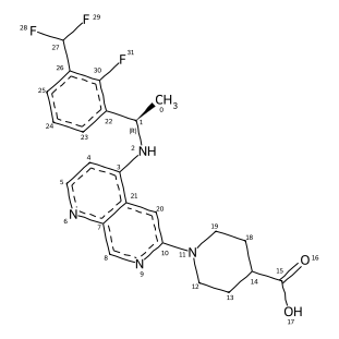 C[C@@H](Nc1ccnc2cnc(N3CCC(C(=O)O)CC3)cc12)c1cccc(C(F)F)c1F